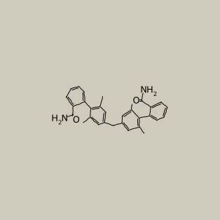 Cc1cc(Cc2cc(C)c(-c3ccccc3C(N)=O)c(C)c2)cc(C)c1-c1ccccc1C(N)=O